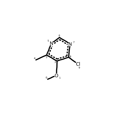 COc1c(C)ncnc1Cl